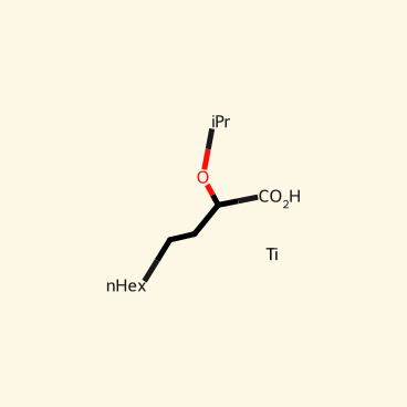 CCCCCCCCC(OC(C)C)C(=O)O.[Ti]